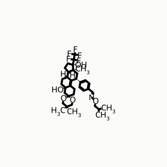 CC(C)CON=Cc1ccc([C@H]2C[C@@]3(C)[C@@H](CC[C@@]3(O)C(F)(F)C(F)(F)F)[C@@H]3CC[C@@]4(O)CC5(CCC4=C32)OCC(C)(C)CO5)cc1